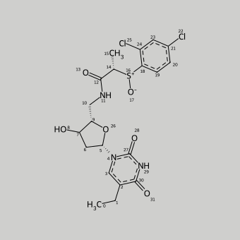 CCc1cn([C@@H]2CC(O)[C@H](CNC(=O)[C@H](C)[S+]([O-])c3ccc(Cl)cc3Cl)O2)c(=O)[nH]c1=O